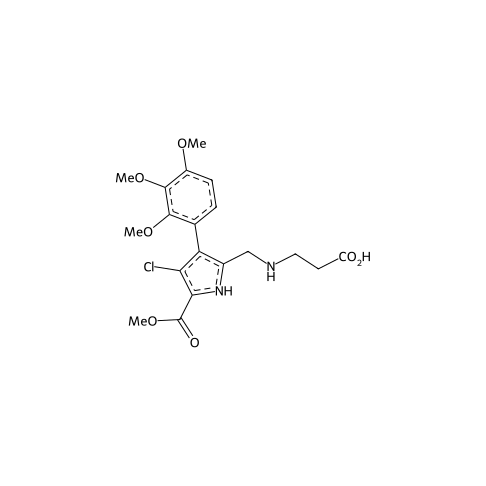 COC(=O)c1[nH]c(CNCCC(=O)O)c(-c2ccc(OC)c(OC)c2OC)c1Cl